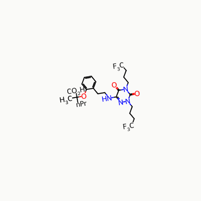 CCCC(C)(Oc1ccccc1CCNc1nn(CCCC(F)(F)F)c(=O)n(CCCC(F)(F)F)c1=O)C(=O)O